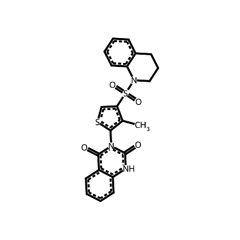 Cc1c(S(=O)(=O)N2CCCc3ccccc32)csc1-n1c(=O)[nH]c2ccccc2c1=O